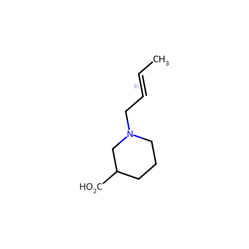 C/C=C/CN1CCCC(C(=O)O)C1